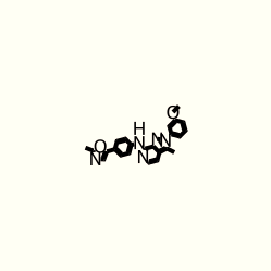 COc1cccc(-n2nc3c(Nc4ccc(-c5cnc(C)o5)cc4)nccc3c2C)c1